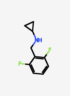 Fc1cccc(F)c1CNC1CC1